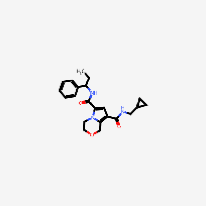 CCC(NC(=O)c1cc(C(=O)NCC2CC2)c2n1CCOC2)c1ccccc1